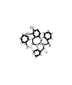 CCCc1c(CC)ccc2c1[C@@H](c1ccccc1CC)[C@@H](C)OP(N([C@H](C)c1ccccc1)[C@H](C)c1ccccc1)O2